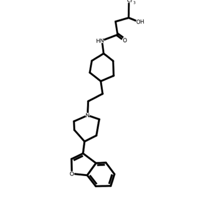 O=C(CC(O)C(F)(F)F)NC1CCC(CCN2CCC(c3coc4ccccc34)CC2)CC1